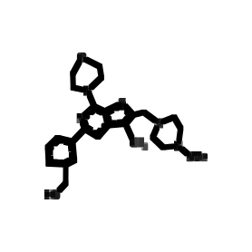 CSN1CCN(Cc2sc3c(N4CCOCC4)nc(-c4cccc(CO)c4)cc3c2C)CC1